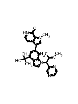 C/N=C(\C)C(c1cnccn1)n1ccc2c(C(C)(C)O)cc(-c3cn(C)c4c(=O)[nH]ccc34)cc21